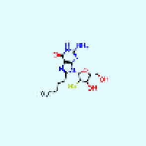 Nc1nc2c(nc(CCCC(=O)O)n2[C@@H]2O[C@H](CO)[C@@H](O)[C@H]2S)c(=O)[nH]1